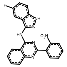 O=[N+]([O-])c1ccccc1-c1nc(Nc2n[nH]c3ccc(F)cc23)c2ccccc2n1